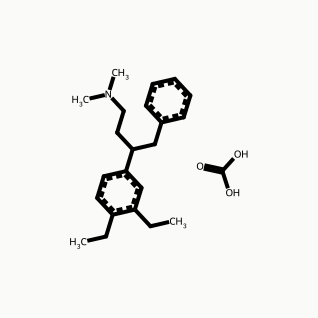 CCc1ccc(C(CCN(C)C)Cc2ccccc2)cc1CC.O=C(O)O